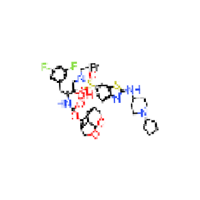 CC(C)CN(C[C@@H](O)[C@H](Cc1cc(F)cc(F)c1)NC(=O)OC1=C2COC3OCC1CC23)S(=O)(=O)c1ccc2nc(NC3CCN(C4CCCC4)CC3)sc2c1